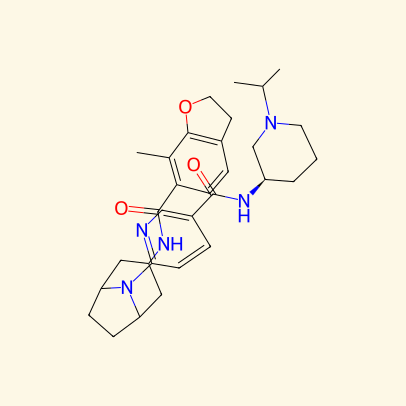 Cc1c(C(=O)NC2CC3CCC(C2)N3c2ccc(C(=O)N[C@@H]3CCCN(C(C)C)C3)cn2)ccc2c1OCC2